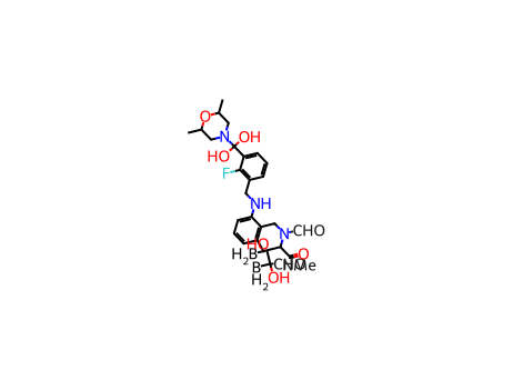 BC(O)(C=O)C(B)(O)C(C(=O)NC)N(C=O)Cc1c(C)cccc1NCc1cccc(C(O)(O)N2CC(C)OC(C)C2)c1F